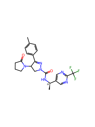 Cc1ccc(C2=NN(C(=O)N[C@H](C)c3cnc(C(F)(F)F)nc3)CC2N2CCCC2=O)cc1